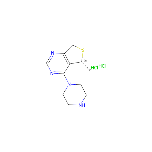 C[C@H]1SCc2ncnc(N3CCNCC3)c21.Cl.Cl